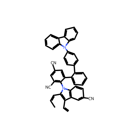 C=Cc1c(/C=C\C)n(-c2c(C#N)cc(C#N)cc2-c2ccccc2-c2ccc(-n3c4ccccc4c4ccccc43)cc2)c2ccc(C#N)cc12